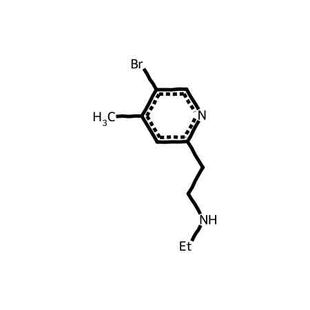 CCNCCc1cc(C)c(Br)cn1